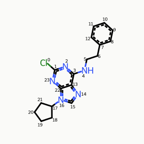 Clc1nc(NCCc2ccccc2)c2ncn(C3CCCC3)c2n1